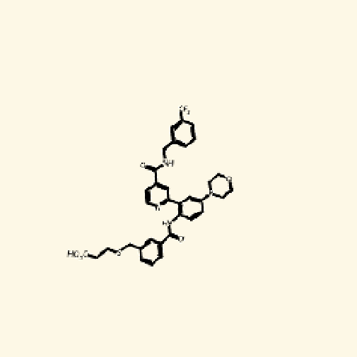 O=C(O)CCSCc1cccc(C(=O)Nc2ccc(N3CCOCC3)cc2-c2cc(C(=O)NCc3cccc(C(F)(F)F)c3)ccn2)c1